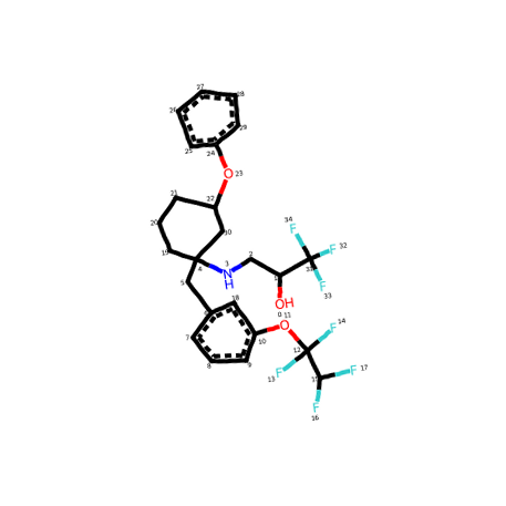 OC(CNC1(Cc2cccc(OC(F)(F)C(F)F)c2)CCCC(Oc2ccccc2)C1)C(F)(F)F